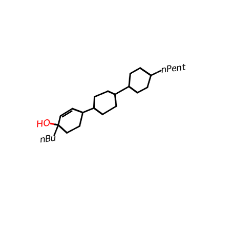 CCCCCC1CCC(C2CCC(C3C=CC(O)(CCCC)CC3)CC2)CC1